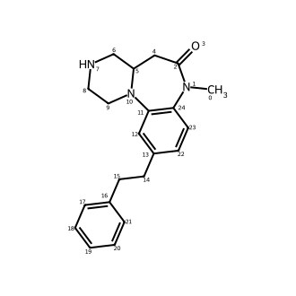 CN1C(=O)CC2CNCCN2c2cc(CCc3ccccc3)ccc21